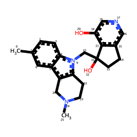 Cc1ccc2c(c1)c1c(n2CC2(O)CCc3cncc(O)c32)CCN(C)C1